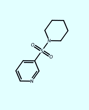 O=S(=O)(c1cccnc1)N1CCCCC1